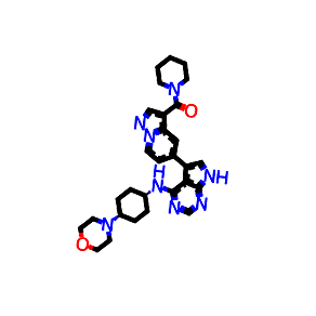 O=C(c1cnn2ccc(-c3c[nH]c4ncnc(N[C@H]5CC[C@H](N6CCOCC6)CC5)c34)cc12)N1CCCCC1